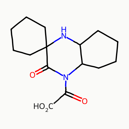 O=C(O)C(=O)N1C(=O)C2(CCCCC2)NC2CCCCC21